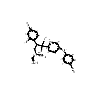 N=CN(N)CC(c1ccc(F)cc1F)C(F)(F)c1ccc(Oc2ccc(Cl)cc2)cn1